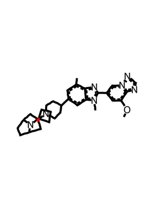 COc1cc(-c2nc3c(C)cc(C4CCN(C5CC6CCC(C5)N6C5CCC5)CC4)cc3n2C)cn2ncnc12